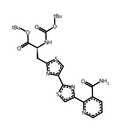 CC(C)(C)OC(=O)N[C@@H](Cc1nc(-c2nc(-c3ncccc3C(N)=O)cs2)cs1)C(=O)OC(C)(C)C